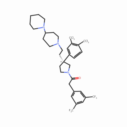 O=C(Cc1cc(C(F)(F)F)cc(C(F)(F)F)c1)N1CC[C@@](CCN2CCC(N3CCCCC3)CC2)(c2ccc(C(Cl)(Cl)Cl)c(C(Cl)(Cl)Cl)c2)C1